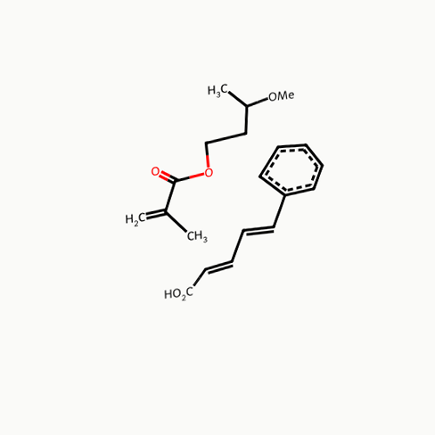 C=C(C)C(=O)OCCC(C)OC.O=C(O)C=CC=Cc1ccccc1